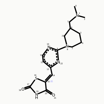 CN(C)CC1CCCN(c2nccc(/C=C3\SC(=O)NC3=O)n2)C1